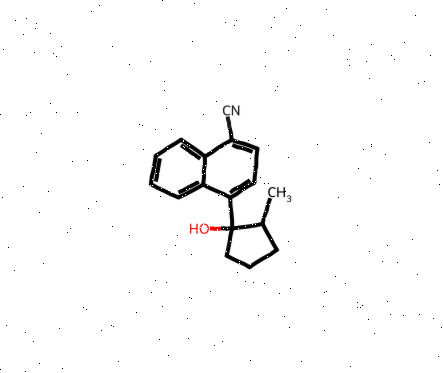 CC1CCCC1(O)c1ccc(C#N)c2ccccc12